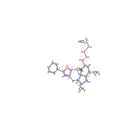 Cc1oc(-c2ccccc2)nc1Cn1c(C)nc2c(C)cc(OCCCC(=O)O)cc21